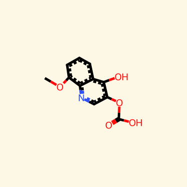 COc1cccc2c(O)c(OC(=O)O)cnc12